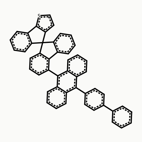 c1ccc(-c2ccc(-c3c4ccccc4c(-c4cccc5c4-c4ccccc4C54c5ccccc5-c5sccc54)c4ccccc34)cc2)cc1